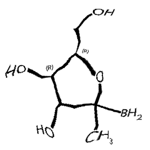 BC1(C)O[C@H](CO)[C@H](O)C1O